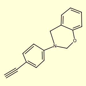 C#Cc1ccc(N2COc3ccccc3C2)cc1